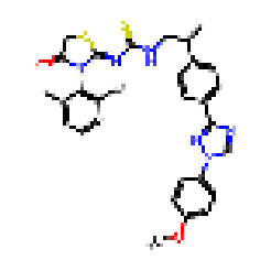 CCc1cccc(C)c1N1C(=O)CS/C1=N\C(=S)NCC(C)c1ccc(-c2ncn(-c3ccc(OC(F)(F)F)cc3)n2)cc1